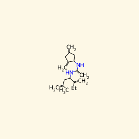 C=C(C)CC(NC(=C)NC1CC(=C)CC1=C)C(=C)CC